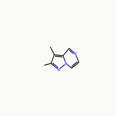 Cc1nn2ccncc2c1C